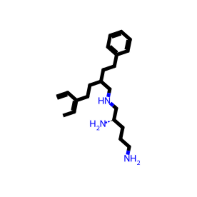 C=C/C(=C\C)CCC(CCc1ccccc1)CNC[C@@H](N)CCCN